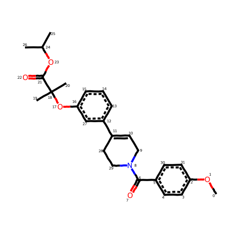 COc1ccc(C(=O)N2CC=C(c3cccc(OC(C)(C)C(=O)OC(C)C)c3)CC2)cc1